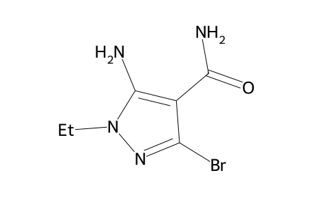 CCn1nc(Br)c(C(N)=O)c1N